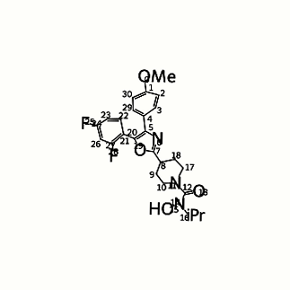 COc1ccc(-c2nc(C3CCN(C(=O)N(O)C(C)C)CC3)oc2-c2ccc(F)cc2F)cc1